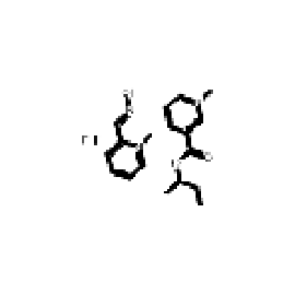 CCC(C)OC(=O)c1ccc[n+](C)c1.C[n+]1ccccc1C=NO.[I-].[I-]